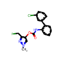 Cn1cc(OC(=O)Nc2ccccc2-c2cccc(Cl)c2)c(CF)n1